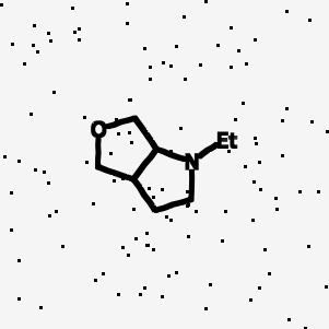 CCN1CCC2COCC21